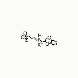 O=S(=O)([O-])CCCCNCC1COc2cscc2O1.[K+]